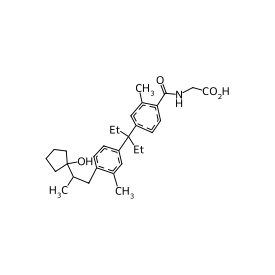 CCC(CC)(c1ccc(CC(C)C2(O)CCCC2)c(C)c1)c1ccc(C(=O)NCC(=O)O)c(C)c1